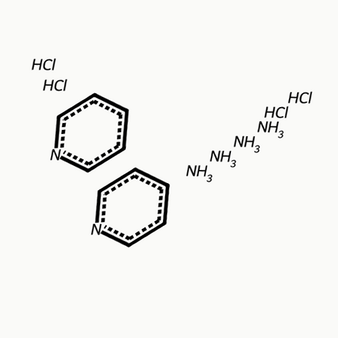 Cl.Cl.Cl.Cl.N.N.N.N.c1ccncc1.c1ccncc1